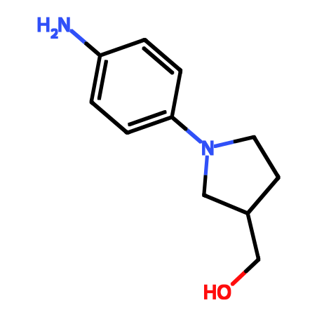 Nc1ccc(N2CCC(CO)C2)cc1